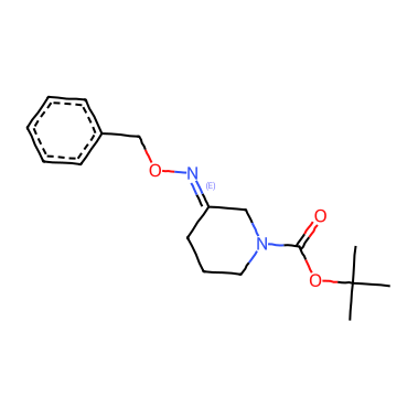 CC(C)(C)OC(=O)N1CCC/C(=N\OCc2ccccc2)C1